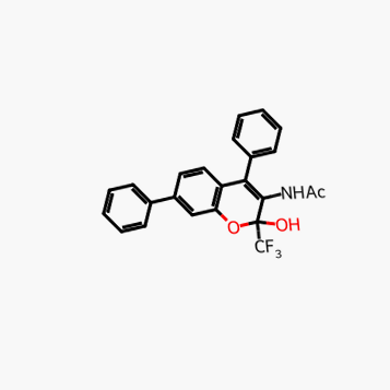 CC(=O)NC1=C(c2ccccc2)c2ccc(-c3ccccc3)cc2OC1(O)C(F)(F)F